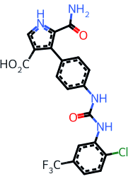 NC(=O)c1[nH]cc(C(=O)O)c1-c1ccc(NC(=O)Nc2cc(C(F)(F)F)ccc2Cl)cc1